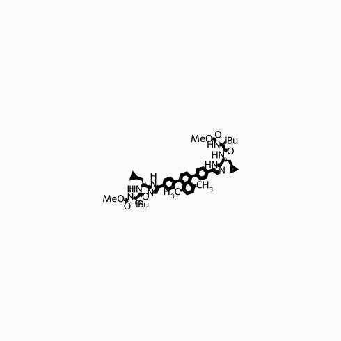 CCC(C)[C@H](NC(=O)OC)C(=O)N[C@@H](CC1CC1)c1ncc(-c2ccc(-c3ccc(-c4ccc(-c5cnc([C@H](CC6CC6)NC(=O)C(NC(=O)OC)[C@H](C)CC)[nH]5)cc4)c4c(C)ccc(C)c34)cc2)[nH]1